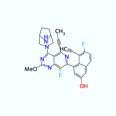 C#Cc1c(F)ccc2cc(O)cc(-c3nc(C#CC)c4c(N5CC6CCC(C5)N6)nc(OC)nc4c3F)c12